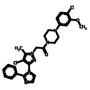 COc1cc(N2CCN(C(=O)Cn3nc(-n4ccnc4-c4ccccc4)c(Cl)c3C)CC2)ccc1Cl